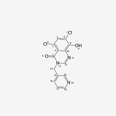 O=c1c2c(Cl)cc(Cl)c(O)c2ncn1Cc1cccnc1